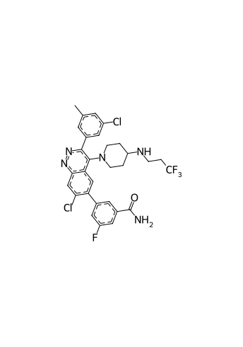 Cc1cc(Cl)cc(-c2nnc3cc(Cl)c(-c4cc(F)cc(C(N)=O)c4)cc3c2N2CCC(NCCC(F)(F)F)CC2)c1